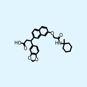 CC1(NC(=O)COc2ccc3ccc(C(CC(=O)O)c4ccc5c(c4)OCO5)cc3c2)CCCCC1